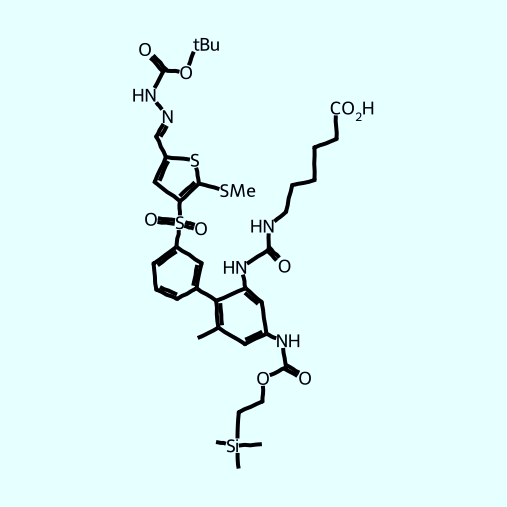 CSc1sc(C=NNC(=O)OC(C)(C)C)cc1S(=O)(=O)c1cccc(-c2c(C)cc(NC(=O)OCC[Si](C)(C)C)cc2NC(=O)NCCCCCC(=O)O)c1